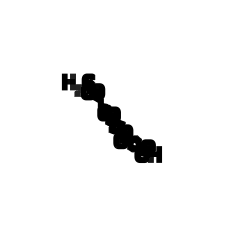 C=CC(=O)OCCCCOC(=O)Cc1ccc(OC(=O)[C@H]2CC[C@H](C(=O)O)CC2)cc1